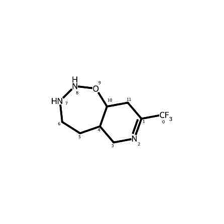 FC(F)(F)C1=NCC2CCNNOC2C1